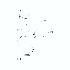 O=C(NC1CCCCC1)N1C2CCC1CN(Cc1c(-c3ccc(Cl)cc3)nc3ncccn13)C2